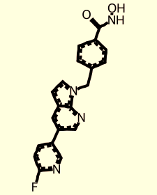 O=C(NO)c1ccc(Cn2ccc3cc(-c4ccc(F)nc4)cnc32)cc1